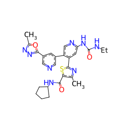 CCNC(=O)Nc1cc(-c2nc(C)c(C(=O)NC3CCCC3)s2)c(-c2cncc(-c3nnc(C)o3)c2)cn1